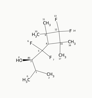 CC(C)[C@@H](O)C(F)(F)C1C(C)(C)C(F)(F)C1(C)C